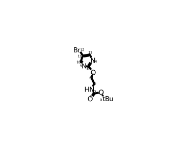 CC(C)(C)OC(=O)NCCOc1ncc(Br)cn1